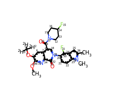 [2H]C([2H])([2H])Oc1cc2c(C(=O)N3CCC(F)CC3)cn(-c3ccc4c(cc(C)n4C)c3F)c(=O)c2nc1OC